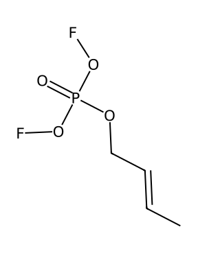 CC=CCOP(=O)(OF)OF